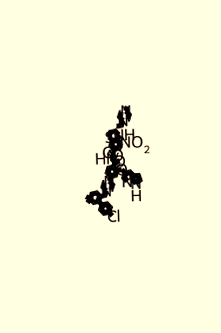 CN1CCN(CC[C@H]2CSc3cc(S(=O)(=O)NC(=O)c4ccc(N5CCN(CC6=C(c7ccc(Cl)cc7)CC(C)(C)CC6)CC5)cc4Oc4cnc5[nH]ccc5c4)cc([N+](=O)[O-])c3N2)CC1